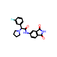 O=C1NC(=O)c2cc(NC(=O)C(c3cccc(F)c3)N3CCCC3)ccc21